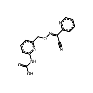 N#C/C(=N\OCc1cccc(NC(=O)O)n1)c1ccccn1